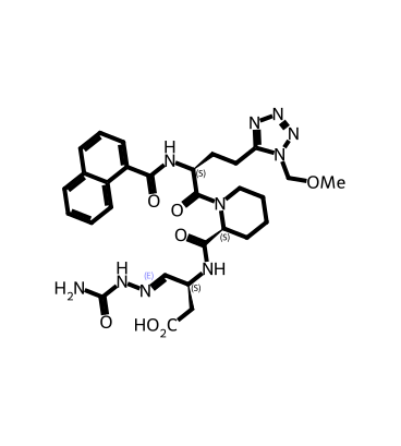 COCn1nnnc1CC[C@H](NC(=O)c1cccc2ccccc12)C(=O)N1CCCC[C@H]1C(=O)N[C@H](/C=N/NC(N)=O)CC(=O)O